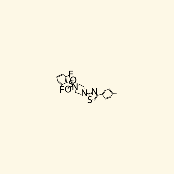 Cc1ccc(-c2csc(N3CCN(S(=O)(=O)c4c(F)cccc4F)CC3)n2)cc1